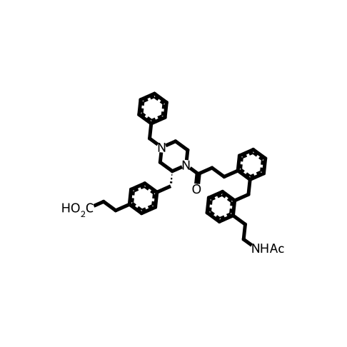 CC(=O)NCCc1ccccc1Cc1ccccc1CCC(=O)N1CCN(Cc2ccccc2)C[C@H]1Cc1ccc(CCC(=O)O)cc1